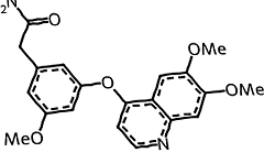 COc1cc(CC(N)=O)cc(Oc2ccnc3cc(OC)c(OC)cc23)c1